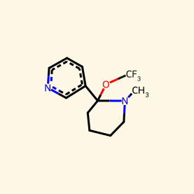 CN1CCCCC1(OC(F)(F)F)c1cccnc1